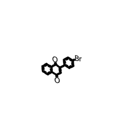 O=C1C=C(c2ccc(Br)cc2)C(=O)c2ccccc21